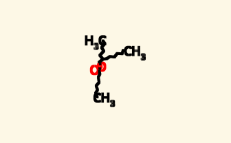 CCCCCCCC(=O)OCC(CCCCC)CCCCCCC